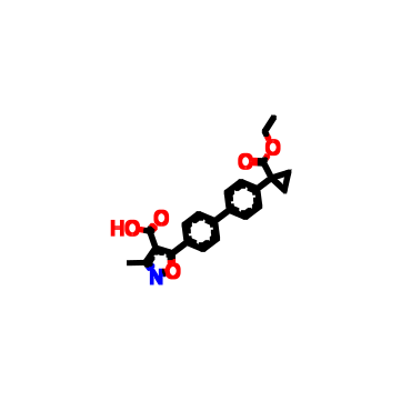 CCOC(=O)C1(c2ccc(-c3ccc(-c4onc(C)c4C(=O)O)cc3)cc2)CC1